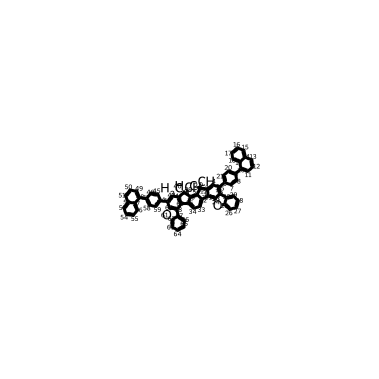 CC1(C)c2cc(-c3ccc(-c4cccc5ccccc45)cc3)c3c(oc4ccccc43)c2-c2ccc3c(c21)C(C)(C)c1cc(-c2ccc(-c4cccc5ccccc45)cc2)c2oc4ccccc4c2c1-3